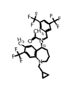 CC(=O)N(Cc1cc(C(F)(F)F)cc(C(F)(F)F)c1)[C@H]1CCCN(CC2CC2)c2cc(C(F)(F)F)c(C)cc21